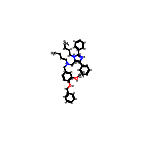 CCCCN(Cc1ccc(OCc2ccccc2)c(OC)c1)Cc1c(-c2ccccc2)nc(-c2ccccc2)n1CCCC